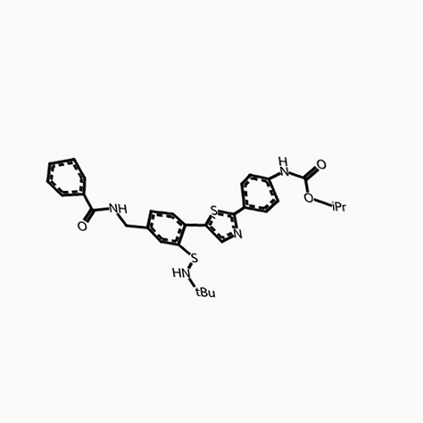 CC(C)OC(=O)Nc1ccc(-c2ncc(-c3ccc(CNC(=O)c4ccccc4)cc3SNC(C)(C)C)s2)cc1